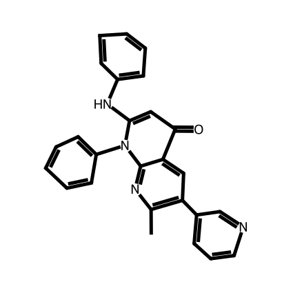 Cc1nc2c(cc1-c1cccnc1)c(=O)cc(Nc1ccccc1)n2-c1ccccc1